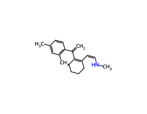 C=C(C1=C(/C=C\NC)CCCC1)c1ccc(C)cc1C